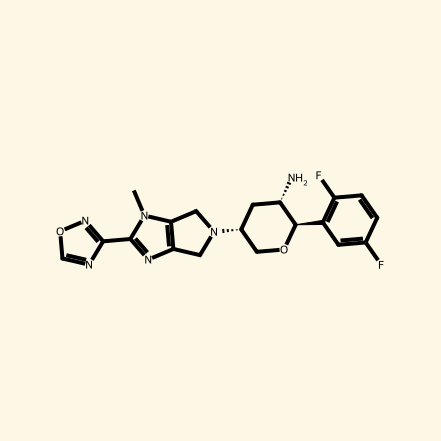 Cn1c(-c2ncon2)nc2c1CN([C@H]1CO[C@H](c3cc(F)ccc3F)[C@@H](N)C1)C2